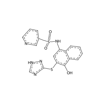 O=S(=O)(Nc1cc(Sc2nc[nH]n2)c(O)c2ccccc12)c1cccnc1